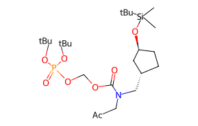 CC(=O)CN(C[C@H]1CC[C@H](O[Si](C)(C)C(C)(C)C)C1)C(=O)OCOP(=O)(OC(C)(C)C)OC(C)(C)C